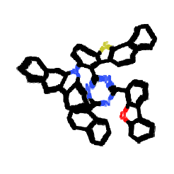 c1ccc2cc3c(cc2c1)c1ccccc1n3-c1ccc2sc3c4ccccc4ccc3c2c1-c1nc(-c2cccc3ccccc23)nc(-c2cccc3c2oc2ccccc23)n1